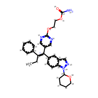 CC/C(=C(/c1cnc(OCCOC(N)=O)nc1)c1ccc2c(cnn2C2CCCCO2)c1)c1ccccc1